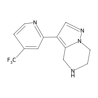 FC(F)(F)c1ccnc(-c2cnn3c2CNCC3)c1